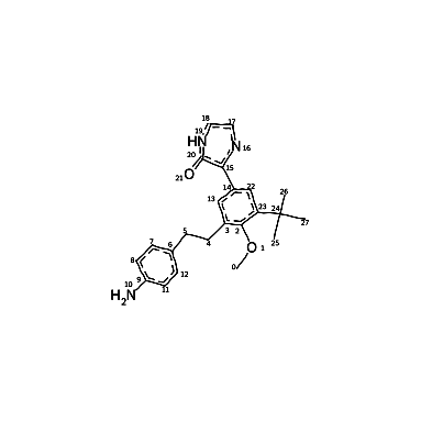 COc1c(CCc2ccc(N)cc2)cc(-c2ncc[nH]c2=O)cc1C(C)(C)C